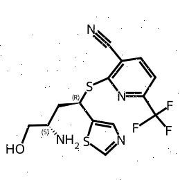 N#Cc1ccc(C(F)(F)F)nc1S[C@H](C[C@H](N)CO)c1cncs1